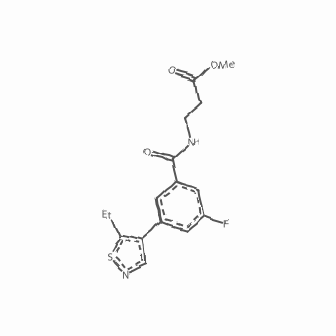 CCc1sncc1-c1cc(F)cc(C(=O)NCCC(=O)OC)c1